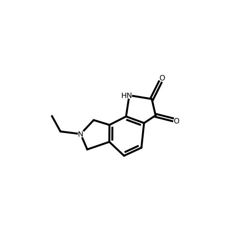 CCN1Cc2ccc3c(c2C1)NC(=O)C3=O